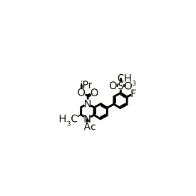 CC(=O)N1c2ccc(-c3ccc(F)c(S(C)(=O)=O)c3)cc2N(C(=O)OC(C)C)C[C@@H]1C